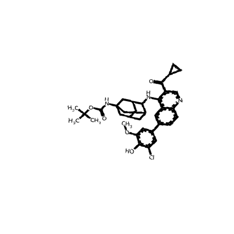 COc1cc(-c2ccc3ncc(C(=O)C4CC4)c(NC4C5CC6CC4CC(NC(=O)OC(C)(C)C)(C6)C5)c3c2)cc(Cl)c1O